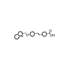 O=C(O)c1ccc(C=Cc2ccc(OCc3ccc4ccccc4n3)cc2)cc1